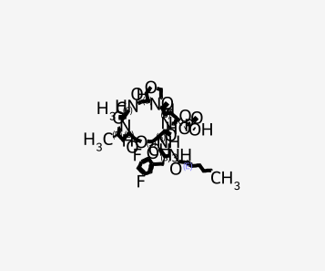 CCCC/C=C/C(=O)N[C@@H](Cc1cc(F)cc(F)c1)C(=O)N[C@@H]1C(=O)N2C[C@H](OP(=O)(O)O)C[C@H]2C(=O)N2CCOC[C@H]2C(=O)N[C@@H](C)C(=O)N2C[C@H](C)C[C@H]2C(=O)O[C@H]1C